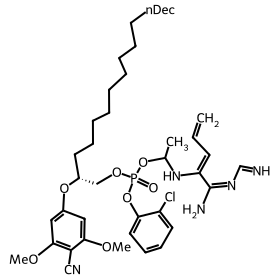 C=C/C=C(NC(C)OP(=O)(OC[C@@H](CCCCCCCCCCCCCCCCCCC)Oc1cc(OC)c(C#N)c(OC)c1)Oc1ccccc1Cl)/C(N)=N\C=N